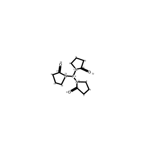 O=C1CCCN1P(N1CCCC1=O)N1CCCC1=O